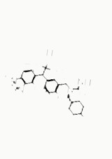 CCC1CCC(CN(Cc2cc(C(c3ccc4c(nnn4C)c3C)C(C)(C)C(=O)O)ccc2C)C(N)=O)CC1